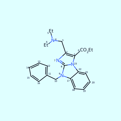 CCOC(=O)c1c(CN(CC)CC)nc2n(Cc3ccccc3)c3ccccc3n12